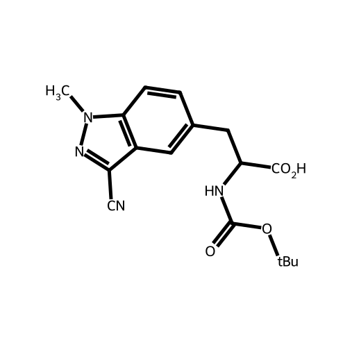 Cn1nc(C#N)c2cc(CC(NC(=O)OC(C)(C)C)C(=O)O)ccc21